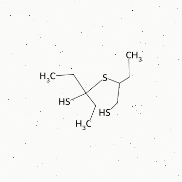 CCC(CS)SC(S)(CC)CC